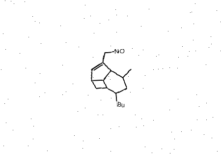 CCC(C)C1CC(C)C2C(CN=O)=CC3CC1C32